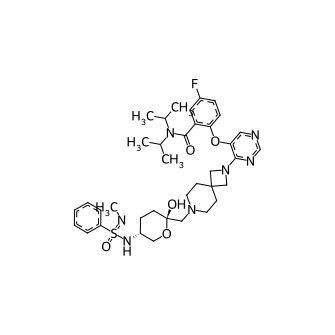 CN=S(=O)(N[C@@H]1CC[C@](O)(CN2CCC3(CC2)CN(c2ncncc2Oc2ccc(F)cc2C(=O)N(C(C)C)C(C)C)C3)OC1)c1ccccc1